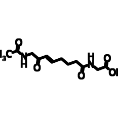 CC(=O)NCC(=O)C=CCCCC(=O)NCC(=O)O